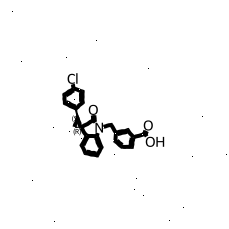 O=C(O)c1cccc(CN2C(=O)[C@@]3(C[C@H]3c3ccc(Cl)cc3)c3ccccc32)c1